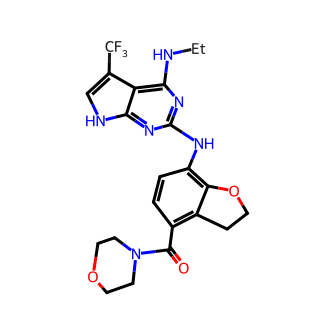 CCNc1nc(Nc2ccc(C(=O)N3CCOCC3)c3c2OCC3)nc2[nH]cc(C(F)(F)F)c12